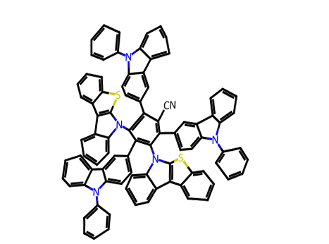 N#Cc1c(-c2ccc3c(c2)c2ccccc2n3-c2ccccc2)c(-n2c3ccccc3c3c4ccccc4sc32)c(-c2ccc3c(c2)c2ccccc2n3-c2ccccc2)c(-n2c3ccccc3c3c4ccccc4sc32)c1-c1ccc2c(c1)c1ccccc1n2-c1ccccc1